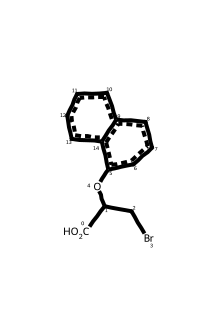 O=C(O)C(CBr)Oc1cccc2ccccc12